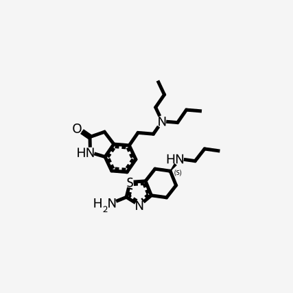 CCCN(CCC)CCc1cccc2c1CC(=O)N2.CCCN[C@H]1CCc2nc(N)sc2C1